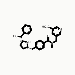 CN(Cc1cncc(C(=O)O)c1)C(=O)c1ccc(C[C@@H]2CC[C@H](C(O)c3ccccc3)N2)cc1